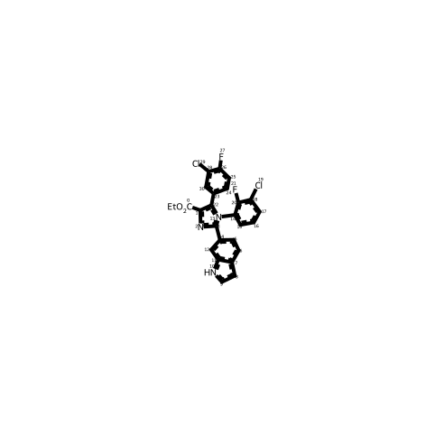 CCOC(=O)c1nc(-c2ccc3cc[nH]c3c2)n(-c2cccc(Cl)c2F)c1-c1ccc(F)c(Cl)c1